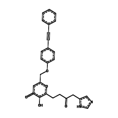 O=C(CCc1oc(COc2ccc(C#Cc3ccccc3)cc2)cc(=O)c1O)Cc1cnc[nH]1